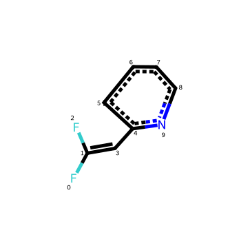 FC(F)=Cc1[c]cccn1